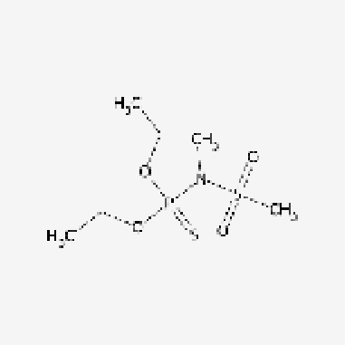 CCOP(=S)(OCC)N(C)S(C)(=O)=O